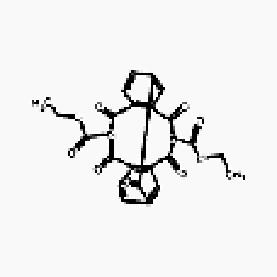 CCOC(=O)N1C(=O)c2ccc3cc2C(=O)N(C(=O)OCC)C(=O)c2cc(ccc2C1=O)C3=O